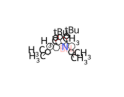 BC1CCC2=C(CCCc3c2ccc(C)c3C)C(c2ccc(C(C)(C)C)cc2)=C1/C(=C1\N=C2C(=C1c1ccc(C(C)(C)C)cc1)CCCc1c2ccc(C)c1C)c1c(C)cccc1C